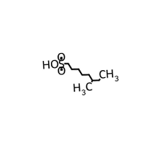 CCC(C)CCCCCS(=O)(=O)O